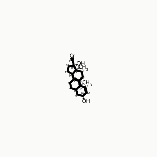 C[C@]12CCC3=C(CCC4C[C@@H](O)C=C[C@]34C)C1CC[C@@]2(O)[C]#[Cr]